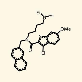 CCN(CC)CCCCN(Cc1ccc2ccccc2c1)C(=O)c1sc2cc(OC)ccc2c1Cl